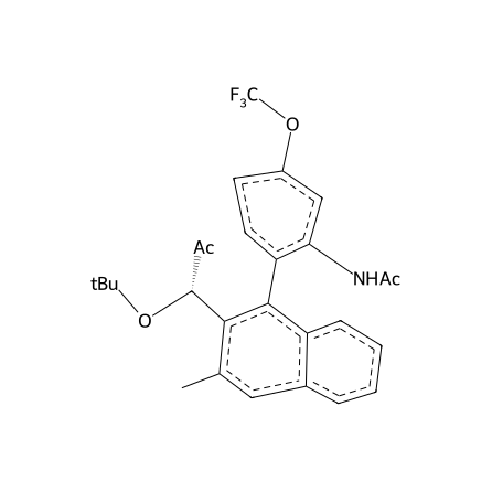 CC(=O)Nc1cc(OC(F)(F)F)ccc1-c1c([C@H](OC(C)(C)C)C(C)=O)c(C)cc2ccccc12